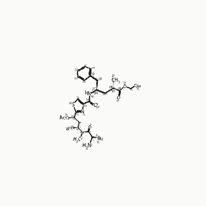 CC[C@H](C)C(N)C(=O)N(C)[C@H](C[C@@H](OC(C)=O)c1nc(C(=O)N[C@@H](Cc2ccccc2)C[C@H](C)C(=O)OCO)cs1)C(C)C